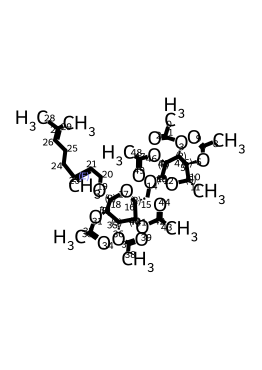 CC(=O)O[C@@H]1[C@@H](OC(C)=O)[C@H](C)O[C@@H](OC[C@H]2O[C@@H](OC/C=C(\C)CCC=C(C)C)[C@H](OC(C)=O)[C@@H](OC(C)=O)[C@@H]2OC(C)=O)[C@@H]1OC(C)=O